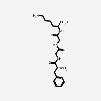 NCCCC[C@H](NC(=O)CNC(=O)CNC(=O)[C@@H](N)Cc1ccccc1)C(=O)O